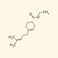 CCOC(=O)[C@@H]1CC=C(CCC=C(C)C)CC1